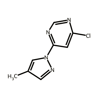 Cc1cnn(-c2cc(Cl)ncn2)c1